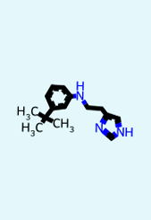 CC(C)(C)c1cccc(NCCc2c[nH]cn2)c1